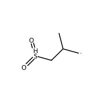 [CH2]C(C)C[SH](=O)=O